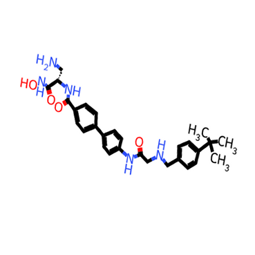 CC(C)(C)c1ccc(CNCC(=O)Nc2ccc(-c3ccc(C(=O)N[C@@H](CN)C(=O)NO)cc3)cc2)cc1